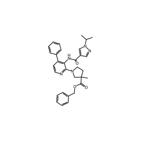 CC(C)n1cc(C(=O)Nc2c(-c3ccccc3)ccnc2N2CCC(C)(C(=O)OCc3ccccc3)C2)cn1